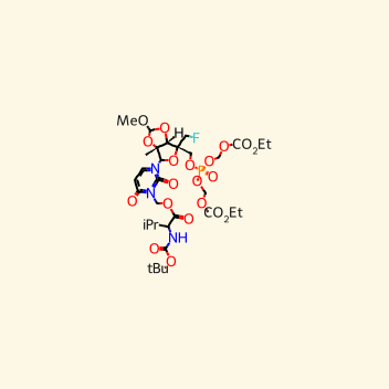 CCOC(=O)OCOP(=O)(OCOC(=O)OCC)OC[C@@]1(CF)O[C@@H](n2ccc(=O)n(COC(=O)C(NC(=O)OC(C)(C)C)C(C)C)c2=O)[C@]2(C)OC(OC)O[C@H]12